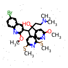 COc1cc(C(O)(CCN(C)C)C(c2cc(SC)nc(SC)c2)c2cc3cc(Br)ccc3nc2OC)ccn1